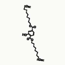 CCCCCCCCCCCCCCCCCCOC(=O)c1ccc(C(=O)OCCCCCCCCCCCCCCCCCC)c(O)c1